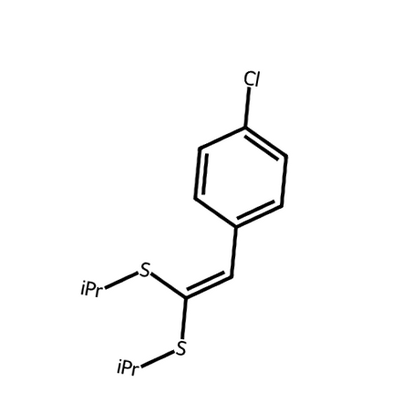 CC(C)SC(=Cc1ccc(Cl)cc1)SC(C)C